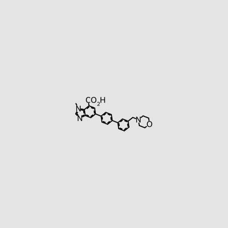 Cn1cnc2cc(-c3ccc(-c4cccc(CN5CCOCC5)c4)cc3)cc(C(=O)O)c21